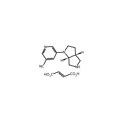 N#Cc1cncc(N2CC[C@@H]3CNC[C@@H]32)c1.O=C(O)C=CC(=O)O